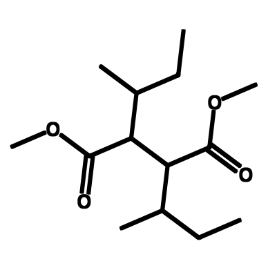 CCC(C)C(C(=O)OC)C(C(=O)OC)C(C)CC